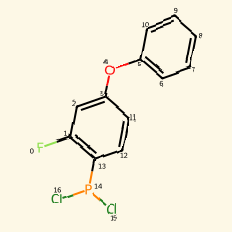 Fc1cc(Oc2ccccc2)ccc1P(Cl)Cl